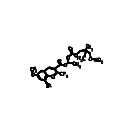 CCc1cc(OC(F)(F)F)cc2c1OC(C(F)(F)F)C(C(=O)OC(C)OC(=O)OCC(C)(C)CO[N+](=O)[O-])=C2